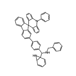 C1=CC2NC2(C(NCc2ccccc2)c2ccc(-c3ccc4c(c3)C3(c5ccccc5-4)c4ccccc4N(c4ccccc4)c4ccccc43)cc2)C=C1